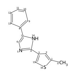 Cc1cc(-c2ncc(-c3ccccc3)[nH]2)cs1